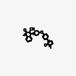 Cn1ccn(-c2ccc(OC3CCN(c4c(C#N)c(=O)n(C)c5ccccc45)CC3)cc2)c1=O